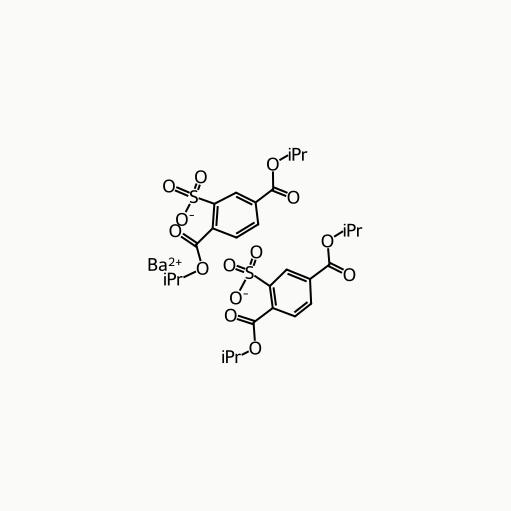 CC(C)OC(=O)c1ccc(C(=O)OC(C)C)c(S(=O)(=O)[O-])c1.CC(C)OC(=O)c1ccc(C(=O)OC(C)C)c(S(=O)(=O)[O-])c1.[Ba+2]